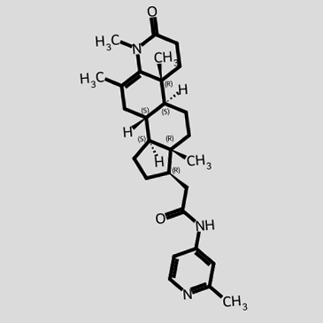 CC1=C2N(C)C(=O)CC[C@]2(C)[C@H]2CC[C@]3(C)[C@@H](CC(=O)Nc4ccnc(C)c4)CC[C@H]3[C@@H]2C1